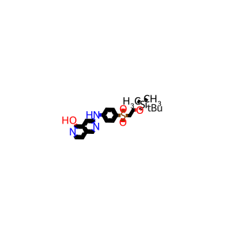 CC(C)(C)[Si](C)(C)OCCS(=O)(=O)c1ccc(Nc2cc3c(O)nccc3cn2)cc1